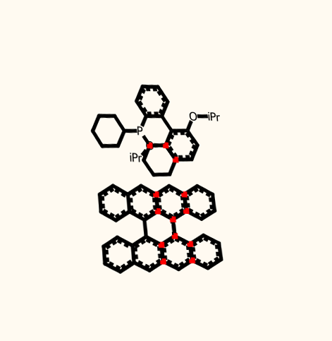 CC(C)Oc1cccc(OC(C)C)c1-c1ccccc1P(C1CCCCC1)C1CCCCC1.c1ccc(P(c2ccccc2)c2ccc3ccccc3c2-c2c(P(c3ccccc3)c3ccccc3)ccc3ccccc23)cc1